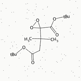 CC(C)(C)OC(=O)CC(C)(C)C1(C(=O)OC(C)(C)C)OO1